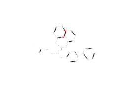 O=C(O)CCC(Cc1ccc(-c2ccccc2)cc1)N(Cc1ccccc1)Cc1ccccc1